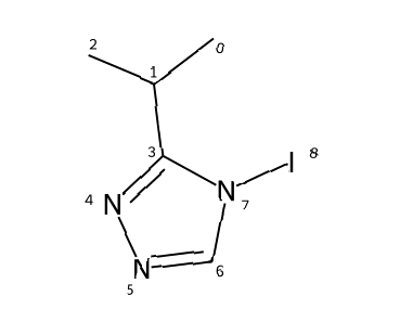 CC(C)c1nncn1I